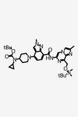 Cc1cn2cc(NC(=O)c3ccc(N4CCC(N(C(=O)OC(C)(C)C)C5CC5)CC4)c4cn(C)nc34)nc(CO[Si](C)(C)C(C)(C)C)c2n1